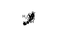 CC(C)c1nn(CC(=O)N[C@H]2C[C@H](n3cccn3)C2)c(=O)c2ccc(Br)cc12